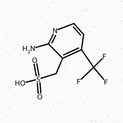 Nc1nccc(C(F)(F)F)c1CS(=O)(=O)O